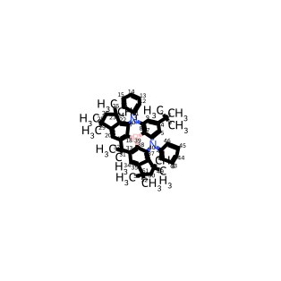 CC(C)(C)c1cc2c3c(c1)N(c1ccccc1)c1c4c(cc5c1C(C)(C)CC5(C)C)C(C)(C)c1cc5c(c(c1B34)N2c1ccccc1)C(C)(C)CC5(C)C